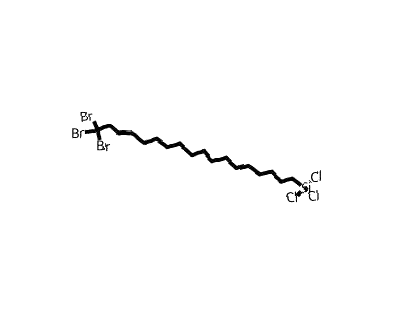 Cl[Si](Cl)(Cl)CCCCCCCCCCCCCCCCCC(Br)(Br)Br